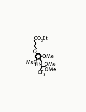 CCOC(=O)CCCCOc1cc(OC)c(CNC(CC(F)(F)F)C(OC)OC)c(OC)c1